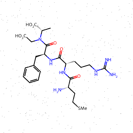 CSCC[C@H](N)C(=O)N[C@@H](CCCNC(=N)N)C(=O)N[C@@H](Cc1ccccc1)C(=O)N(CC(=O)O)[C@@H](C)C(=O)O